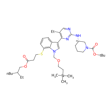 CCCCC(CC)COC(=O)CCSc1cccc2c(-c3nc(N[C@H]4CCCN(C(=O)OC(C)(C)C)C4)ncc3CC)cn(COCC[Si](C)(C)C)c12